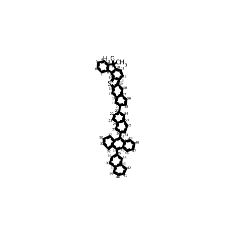 CC1(C)c2ccccc2-c2c1ccc1c2sc2cc3cc(-c4ccc5cc(-c6c7ccccc7c(-c7ccc8ccccc8c7)c7ccccc67)ccc5c4)ccc3cc21